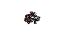 CC(C)(C)c1cc(-c2ccc3c(c2)B2c4cc(-c5cc(-n6c7ccccc7c7ccccc76)cc(-n6c7ccccc7c7cc8sc9ccccc9c8cc76)n5)ccc4N(c4c(-c5ccccc5)cccc4-c4ccccc4)c4cc(C(C)(C)C)cc(c42)N3c2c(-c3ccccc3)cccc2-c2ccccc2)nc(-n2c3ccccc3c3ccccc32)c1